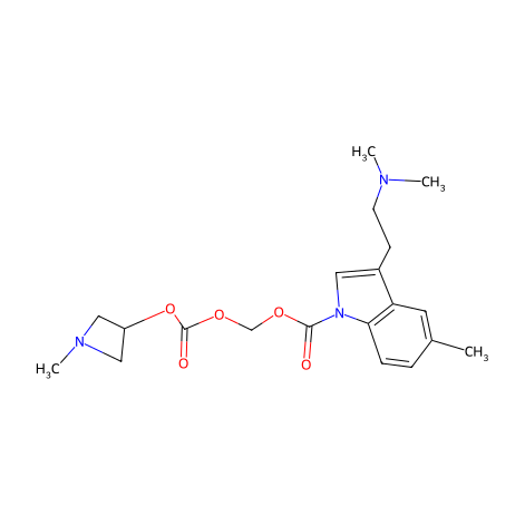 Cc1ccc2c(c1)c(CCN(C)C)cn2C(=O)OCOC(=O)OC1CN(C)C1